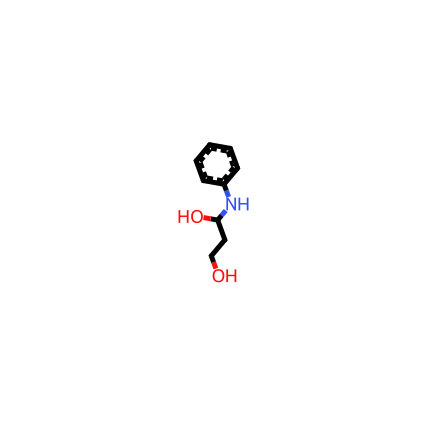 OCCC(O)Nc1ccccc1